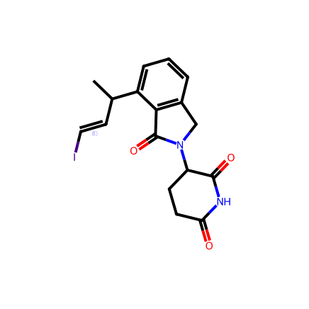 CC(/C=C/I)c1cccc2c1C(=O)N(C1CCC(=O)NC1=O)C2